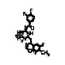 C/C=N\C(CC(N)N/C(=N\C(=O)c1ccc(F)c(F)c1)NC(C)(C)C)c1ccc(C)c(F)c1